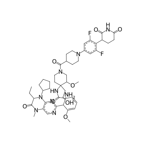 CCC1C(=O)N(C)c2cnc(C3C(OC)=CC=CC3(N)C(=O)NC3(CCO)CCN(C(=O)C4CCN(c5cc(F)c(C6CCC(=O)NC6=O)c(F)c5)CC4)CC3OC)nc2N1C1CCCC1